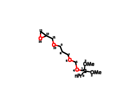 CCC[Si](OC)(OC)OCOCCCOCC1CO1